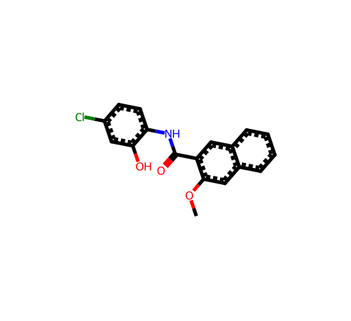 COc1cc2ccccc2cc1C(=O)Nc1ccc(Cl)cc1O